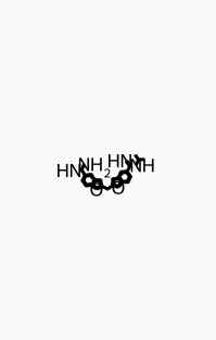 CC(C)NC(=N)c1ccc2oc(Cc3cc4cc(C(=N)N)ccc4o3)cc2c1